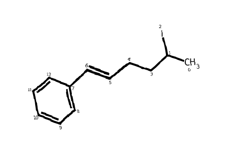 CC(I)CCC=Cc1ccccc1